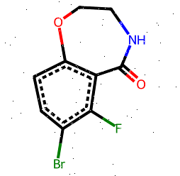 O=C1NCCOc2ccc(Br)c(F)c21